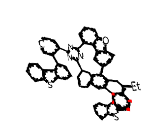 CCC(Cc1c(-c2ccc3oc4cccc(-c5nc(-c6ccccc6-c6cccc7sc8ccccc8c67)nc(C6C=CC=CC6)n5)c4c3c2)cccc1-c1c(C)ccc2sc3ccccc3c12)c1ccccc1